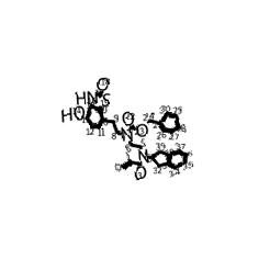 C=CC(=O)N(CCN(CCc1ccc(O)c2[nH]c(=O)sc12)C(=O)OCc1ccccc1)C1Cc2ccccc2C1